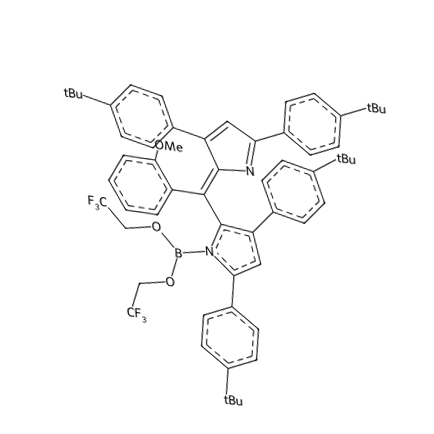 COc1ccccc1/C(=C1/N=C(c2ccc(C(C)(C)C)cc2)C=C1c1ccc(C(C)(C)C)cc1)c1c(-c2ccc(C(C)(C)C)cc2)cc(-c2ccc(C(C)(C)C)cc2)n1B(OCC(F)(F)F)OCC(F)(F)F